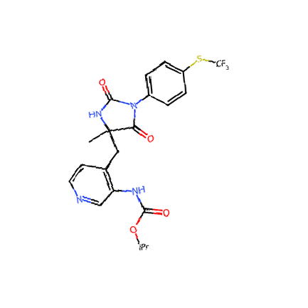 CC(C)OC(=O)Nc1cnccc1CC1(C)NC(=O)N(c2ccc(SC(F)(F)F)cc2)C1=O